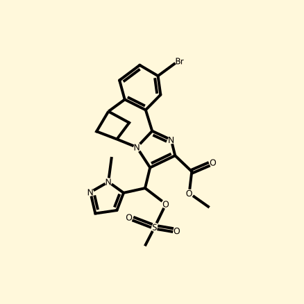 COC(=O)c1nc2n(c1C(OS(C)(=O)=O)c1ccnn1C)C1CC(C1)c1ccc(Br)cc1-2